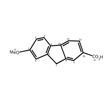 COc1ccc2c(c1)Cc1cc(C(=O)O)ccc1-2